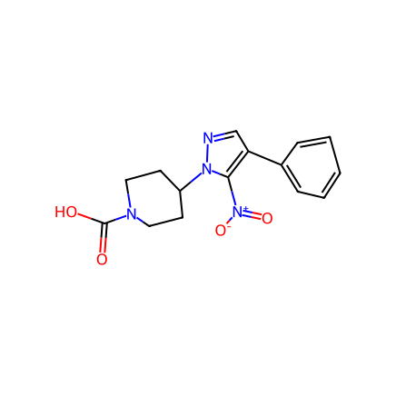 O=C(O)N1CCC(n2ncc(-c3ccccc3)c2[N+](=O)[O-])CC1